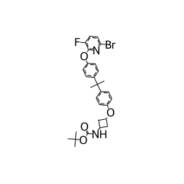 CC(C)(C)OC(=O)N[C@H]1C[C@H](Oc2ccc(C(C)(C)c3ccc(Oc4nc(Br)ccc4F)cc3)cc2)C1